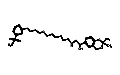 CC1(C)OCc2cc(C(O)CNCCCCCCOCCCCc3cccc(S(N)(=O)=O)c3)ccc2O1